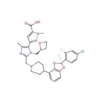 Cc1nc(CN2CCC(c3cccc4c3O[C@@](C)(c3ccc(Cl)cc3F)O4)CC2)n(C[C@@H]2CCO2)c1-c1cc(C(=O)O)n(C)n1